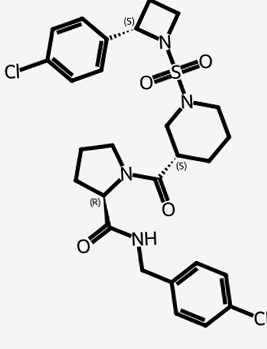 O=C(NCc1ccc(C(F)(F)F)cc1)[C@H]1CCCN1C(=O)[C@H]1CCCN(S(=O)(=O)N2CC[C@H]2c2ccc(Cl)cc2)C1